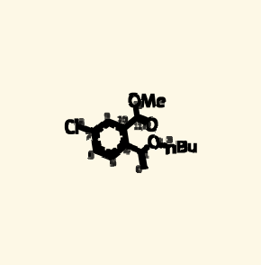 C=C(OCCCC)c1ccc(Cl)cc1C(=O)OC